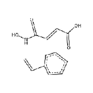 C=Cc1ccccc1.O=C(O)C=CC(=O)NO